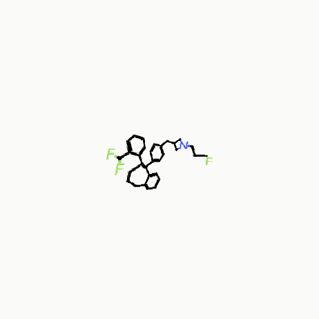 FCCCN1CC(Cc2ccc(C3=C(c4ccccc4C(F)F)CCCc4ccccc43)cc2)C1